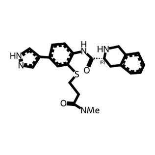 CNC(=O)CCSc1cc(-c2cn[nH]c2)ccc1NC(=O)[C@H]1Cc2ccccc2CN1